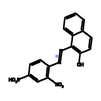 O=[N+]([O-])c1cc(S(=O)(=O)O)ccc1/N=N/c1c(O)ccc2ccccc12